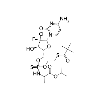 CC(C)OC(=O)C(C)NP(=S)(OCCSC(=O)C(C)(C)C)OC[C@H]1O[C@@H](n2ccc(N)nc2=O)[C@@](F)(Cl)[C@@H]1O